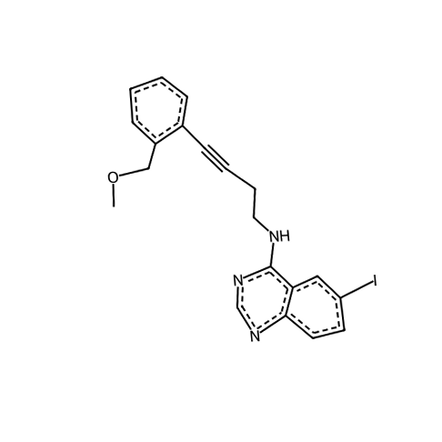 COCc1ccccc1C#CCCNc1ncnc2ccc(I)cc12